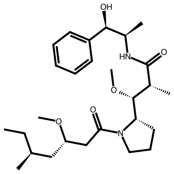 CC[C@H](C)C[C@@H](CC(=O)N1CCC[C@H]1[C@H](OC)[C@@H](C)C(=O)N[C@H](C)[C@H](O)c1ccccc1)OC